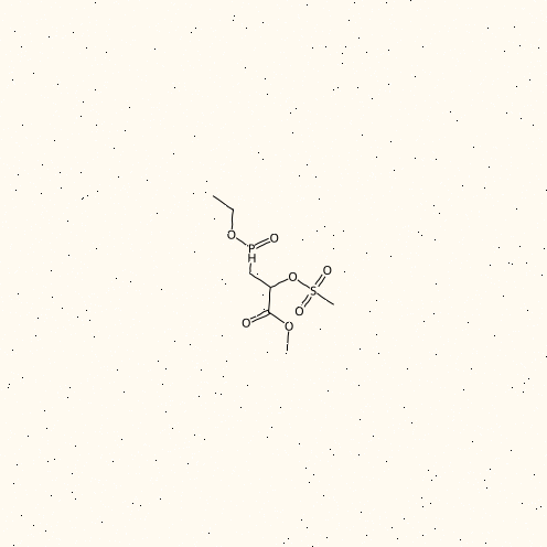 CCO[PH](=O)CC(OS(C)(=O)=O)C(=O)OC